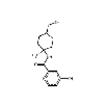 Cc1ccnc(C(=O)NC2(C)CCN(SS)CC2)c1